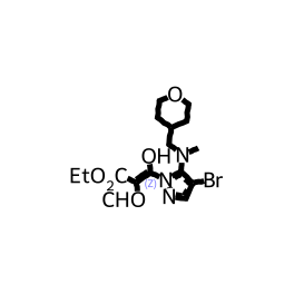 CCOC(=O)/C(C=O)=C(\O)n1ncc(Br)c1N(C)CC1CCOCC1